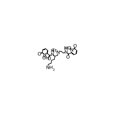 CCN(CCNC(=O)c1cccc(=O)n1O)CC(CCCCN)NC(=O)c1cccc(=O)n1O